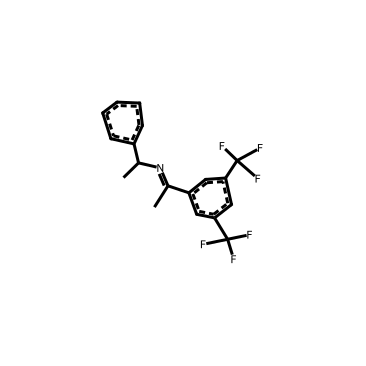 C/C(=N\C(C)c1ccccc1)c1cc(C(F)(F)F)cc(C(F)(F)F)c1